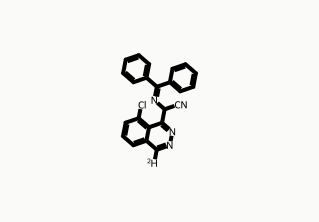 [2H]c1nnc(C(C#N)N=C(c2ccccc2)c2ccccc2)c2c(Cl)cccc12